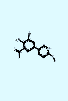 COc1ccc(-c2cc(Br)c(N)c(C(C)=O)c2)cn1